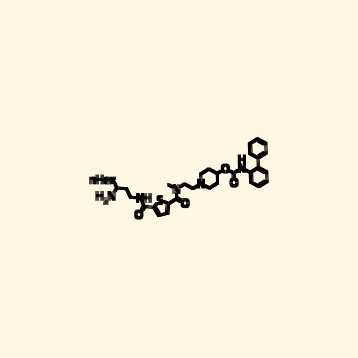 CCCCCCC(N)CCNC(=O)c1ccc(C(=O)N(C)CCN2CCC(OC(=O)Nc3ccccc3-c3ccccc3)CC2)s1